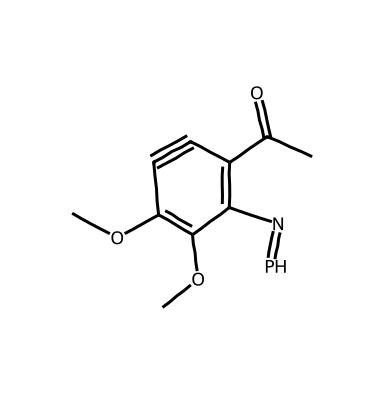 COc1c#cc(C(C)=O)c(N=P)c1OC